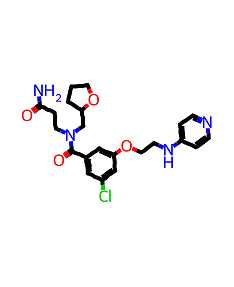 NC(=O)CCN(CC1CCCO1)C(=O)c1cc(Cl)cc(OCCNc2ccncc2)c1